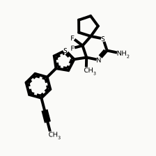 CC#Cc1cccc(-c2csc(C3(C)N=C(N)SC4(CCCC4)C3(F)F)c2)c1